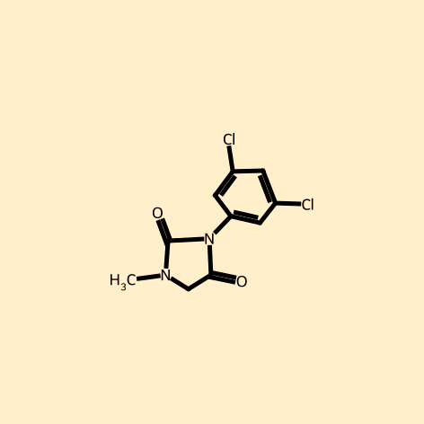 CN1CC(=O)N(c2cc(Cl)cc(Cl)c2)C1=O